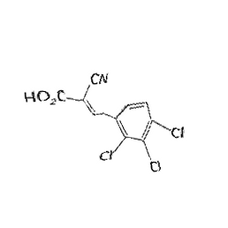 N#C/C(=C\c1ccc(Cl)c(Cl)c1Cl)C(=O)O